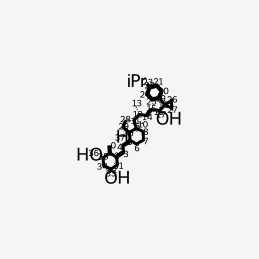 C=C1/C(=C\C=C2/CCC[C@]3(C)[C@@H]([C@H](C)/C=C/[C@H](O)C4(c5ccc(C(C)C)cc5)CC4)CC[C@@H]23)C[C@@H](O)C[C@@H]1O